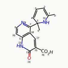 CC1=CC=CC(C)(c2nccc3[nH]c(=O)c(C(=O)O)cc23)N1